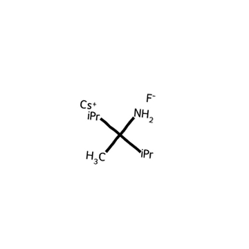 CC(C)C(C)(N)C(C)C.[Cs+].[F-]